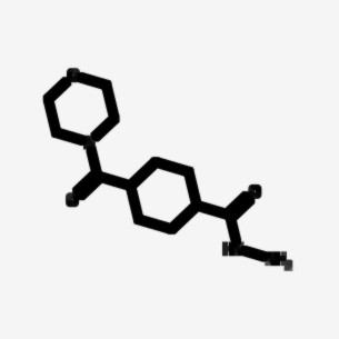 NNC(=O)C1CCC(C(=O)N2CCOCC2)CC1